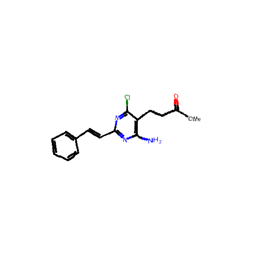 COC(=O)CCc1c(N)nc(C=Cc2ccccc2)nc1Cl